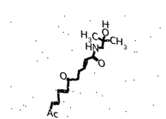 CC(=O)C=CC=CC(=O)CCC=CC(=O)NCC(C)(C)O